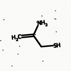 C=C(N)CS